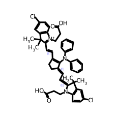 CC1(C)C(/C=C/C2=C(N(c3ccccc3)c3ccccc3)C(=C/C=C3/N(CCC(=O)O)c4ccc(Cl)cc4C3(C)C)/CC2)=[N+](CCC(=O)O)c2ccc(Cl)cc21